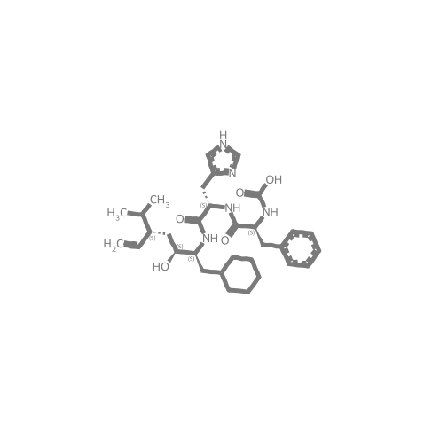 C=C[C@@H](C[C@H](O)[C@H](CC1CCCCC1)NC(=O)[C@H](Cc1c[nH]cn1)NC(=O)[C@H](Cc1ccccc1)NC(=O)O)C(C)C